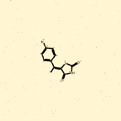 CC(=C1SC(=O)NC1=O)c1ccc(Br)cc1